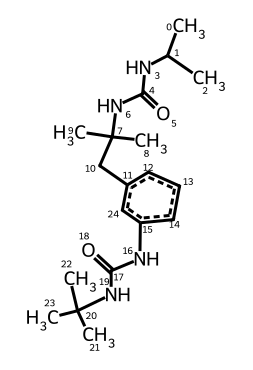 CC(C)NC(=O)NC(C)(C)Cc1cccc(NC(=O)NC(C)(C)C)c1